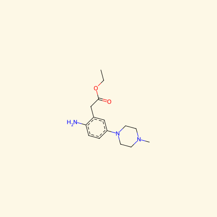 CCOC(=O)Cc1cc(N2CCN(C)CC2)ccc1N